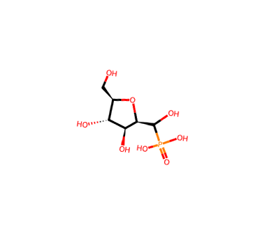 O=P(O)(O)C(O)[C@@H]1O[C@H](CO)[C@@H](O)[C@@H]1O